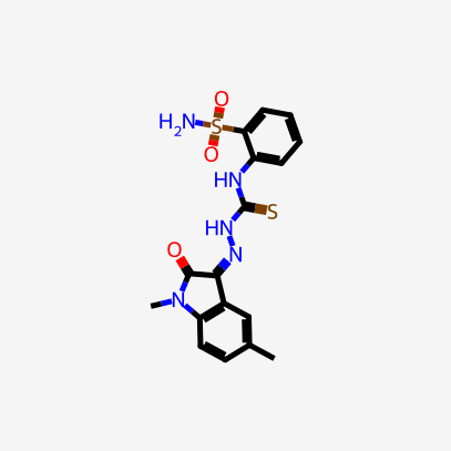 Cc1ccc2c(c1)C(=NNC(=S)Nc1ccccc1S(N)(=O)=O)C(=O)N2C